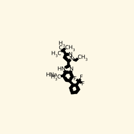 CCn1nc(C(C)(C)C)cc1-c1nc2cc(-c3ccccc3C(F)(F)F)cc(C)c2[nH]1.[NaH]